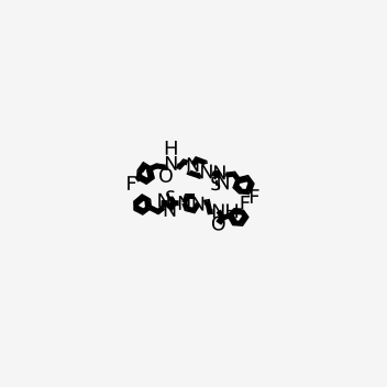 O=C(Cc1ccc(F)cc1)NCCN1CCN(c2nc(Cc3ccc(F)cc3)ns2)CC1.O=C(NCCN1CCN(c2nc(Cc3ccccc3)ns2)CC1)c1cccc(F)c1